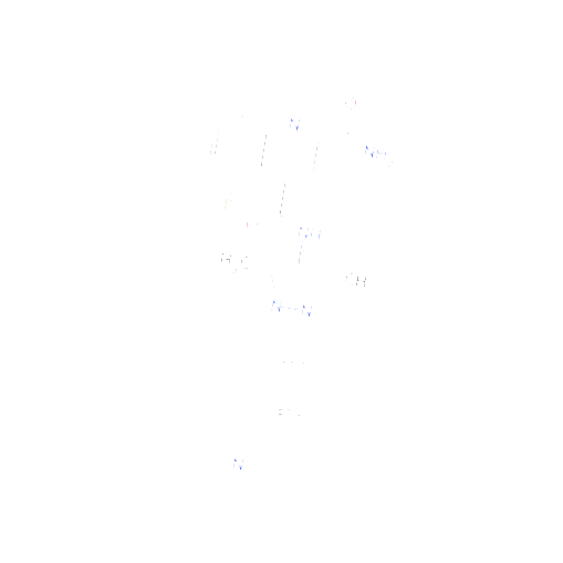 Cc1nn(Cc2ccc(C#N)cc2)c(C)c1NC(=O)c1cc(C(N)=O)nc2cccc(F)c12